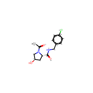 CC(=O)N1C[C@H](O)C[C@H]1C(=O)NCc1ccc(Cl)cc1